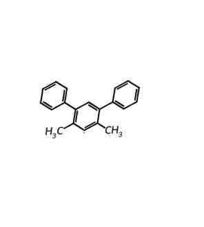 Cc1[c]c(C)c(-c2ccccc2)cc1-c1ccccc1